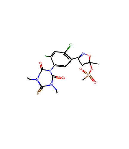 Cn1c(=S)n(C)c(=O)n(-c2cc(C3=NOC(C)(OS(C)(=O)=O)C3)c(Cl)cc2F)c1=O